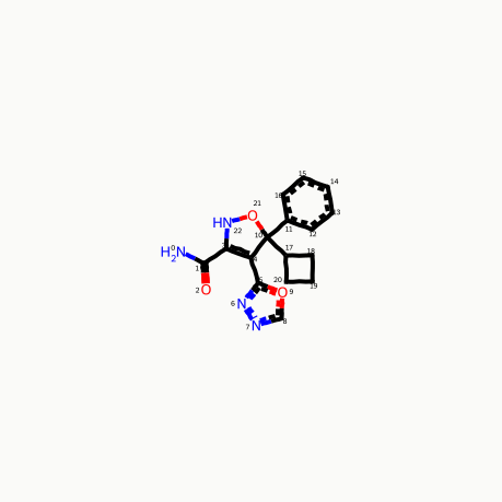 NC(=O)C1=C(c2nnco2)C(c2ccccc2)(C2CCC2)ON1